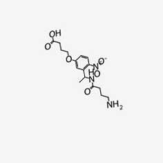 CC(NC(=O)CCCN)c1cc(OCCCC(=O)O)ccc1[N+](=O)[O-]